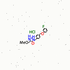 COC[C@@H](N)C(=O)NCc1ccc(COc2cccc(F)c2)cc1.Cl